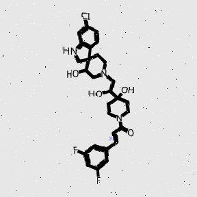 O=C(/C=C/c1cc(F)cc(F)c1)N1CCC(O)(C(O)CN2CCC3(CNc4cc(Cl)ccc43)C(O)C2)CC1